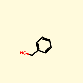 OCc1c[c][c]cc1